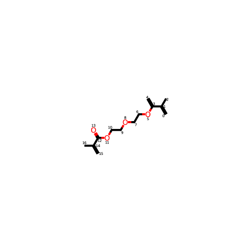 C=C(C)C(=C)OCCOCCOC(=O)C(=C)C